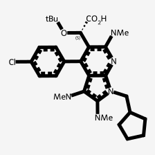 CNc1nc2c(c(NC)c(NC)n2CC2CCCC2)c(-c2ccc(Cl)cc2)c1[C@H](OC(C)(C)C)C(=O)O